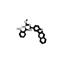 COC1=NC(c2ccc3sc4c(c3c2)CC2C=CC=CC2=C4)NC(C2=C(O)C=CCC2)N1